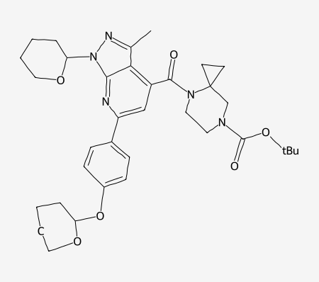 Cc1nn(C2CCCCO2)c2nc(-c3ccc(OC4CCCCO4)cc3)cc(C(=O)N3CCN(C(=O)OC(C)(C)C)CC34CC4)c12